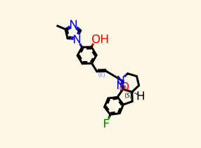 Cc1cn(-c2ccc(/C=C/C3=NO[C@@]45c6ccc(F)cc6C[C@@H]4CCCN35)cc2O)cn1